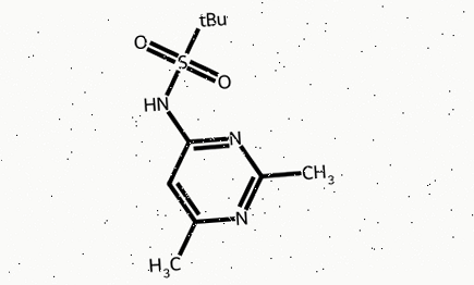 Cc1cc(NS(=O)(=O)C(C)(C)C)nc(C)n1